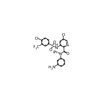 CC(C)N(C(=O)c1ncc(Cl)cc1NS(=O)(=O)c1ccc(Cl)c(C(F)(F)F)c1)c1cccc(N)c1